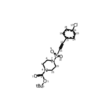 CC(C)(C)OC(=O)N1CCN(S(=O)(=O)C#Cc2ccc(Cl)cc2)CC1